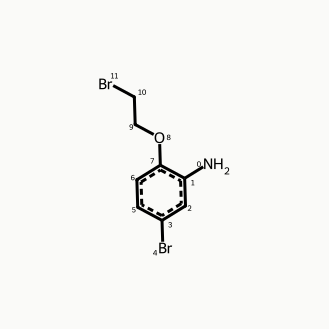 Nc1cc(Br)ccc1OCCBr